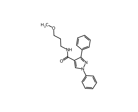 COCCCNC(=O)c1cn(-c2ccccc2)nc1-c1ccccc1